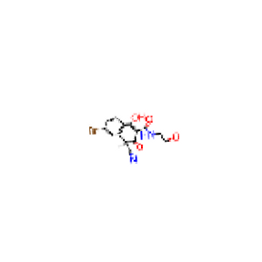 C[C@@]1(C#N)C(=O)C(C(=O)NCC=O)=C(O)c2ccc(Br)cc21